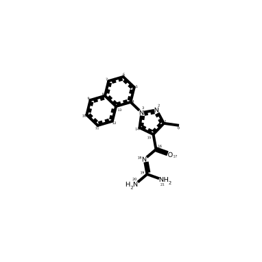 Cc1nn(-c2cccc3ccccc23)cc1C(=O)N=C(N)N